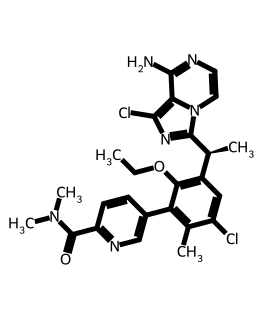 CCOc1c([C@H](C)c2nc(Cl)c3c(N)nccn23)cc(Cl)c(C)c1-c1ccc(C(=O)N(C)C)nc1